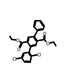 CCOC(=O)c1cc(-c2cc(Cl)ccc2Cl)c(C(=O)OCC)cc1-c1ccccc1